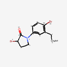 COCc1cc(N2CCC(Br)C2=O)ccc1Br